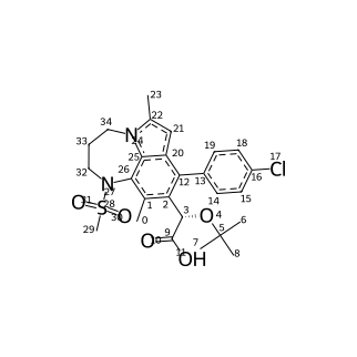 Cc1c([C@H](OC(C)(C)C)C(=O)O)c(-c2ccc(Cl)cc2)c2cc(C)n3c2c1N(S(C)(=O)=O)CCC3